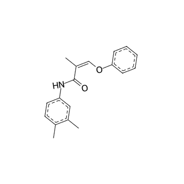 CC(=COc1ccccc1)C(=O)Nc1ccc(C)c(C)c1